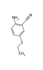 CCSc1ccc(N)c(C#N)c1